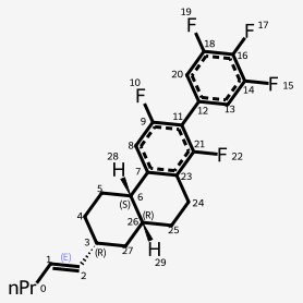 CCC/C=C/[C@@H]1CC[C@@H]2c3cc(F)c(-c4cc(F)c(F)c(F)c4)c(F)c3CC[C@@H]2C1